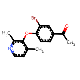 CC(=O)c1ccc(Oc2c(C)ccnc2C)c(Br)c1